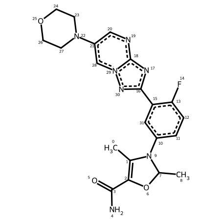 CC1=C(C(N)=O)OC(C)N1c1ccc(F)c(-c2nc3ncc(N4CCOCC4)cn3n2)c1